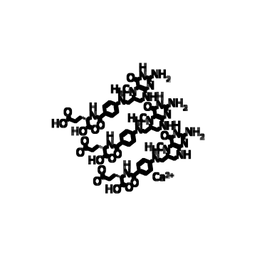 CN1c2c(nc(N)[nH]c2=O)NCC1CNc1ccc(C(=O)N[C@@H](CCC(=O)O)C(=O)O)cc1.CN1c2c(nc(N)[nH]c2=O)NCC1CNc1ccc(C(=O)N[C@@H](CCC(=O)[O-])C(=O)O)cc1.CN1c2c(nc(N)[nH]c2=O)NCC1CNc1ccc(C(=O)N[C@@H](CCC(=O)[O-])C(=O)O)cc1.[Ca+2]